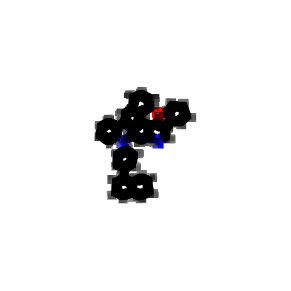 c1ccc(N(c2ccc(-c3cccc4ccccc34)cc2)c2ccc3c(c2)ncc2c4ccccc4oc32)c(-c2ccc3ccccc3c2)c1